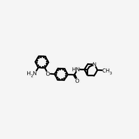 CC1CC2CCN1CC2NC(=O)c1ccc(Oc2ccccc2N)cc1